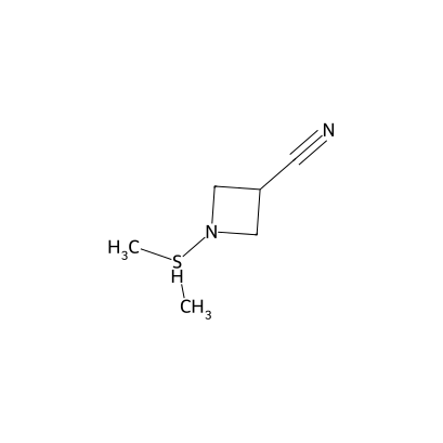 C[SH](C)N1CC(C#N)C1